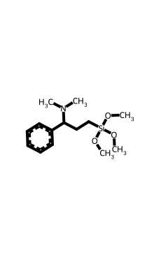 CO[Si](CCC(c1ccccc1)N(C)C)(OC)OC